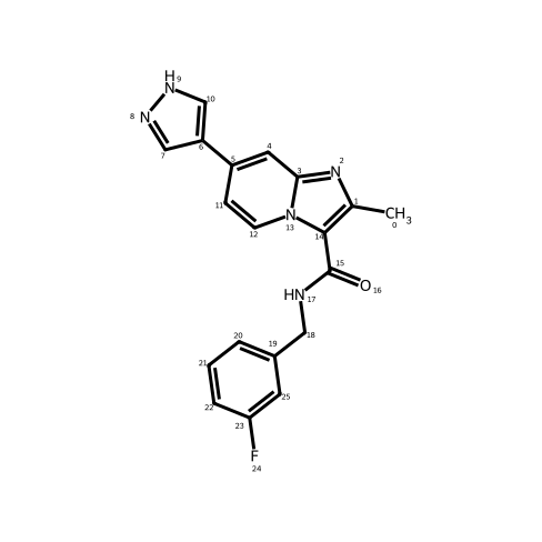 Cc1nc2cc(-c3cn[nH]c3)ccn2c1C(=O)NCc1cccc(F)c1